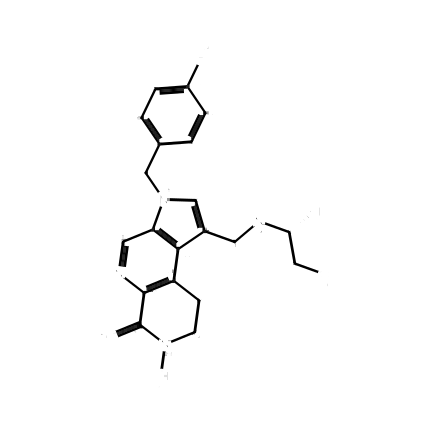 C[C@H](CO)NCc1cn(Cc2ccc(F)cc2)c2cnc3c(c12)CCN(O)C3=O